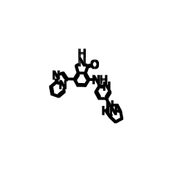 O=C1NCc2c(-c3cnc4ccccn34)ccc(Nc3ccc(N4CC5CCC(C4)N5)cn3)c21